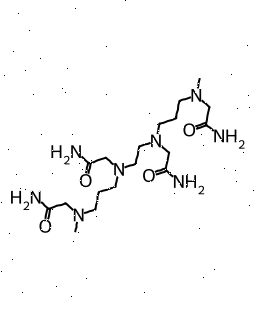 CN(CCCN(CCN(CCCN(C)CC(N)=O)CC(N)=O)CC(N)=O)CC(N)=O